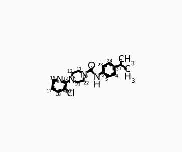 CC(C)c1ccc(NC(=O)N2CCN(c3ncccc3Cl)CC2)cc1